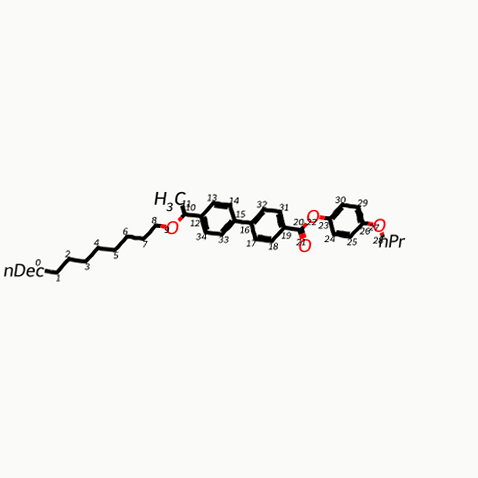 CCCCCCCCCCCCCCCCCCOC(C)c1ccc(-c2ccc(C(=O)Oc3ccc(OCCC)cc3)cc2)cc1